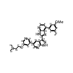 COc1cc(F)cc(-c2ccnc3[nH]c(-c4n[nH]c5ncc(-c6cncc(OCCN(C)C)c6)cc45)nc23)c1